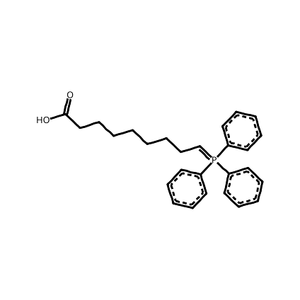 O=C(O)CCCCCCCC=P(c1ccccc1)(c1ccccc1)c1ccccc1